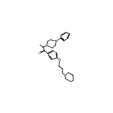 CC(C(=O)c1ccc(OCCCN2CCCCC2)cc1)N1CCN(c2ccccc2)CC1